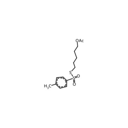 CC(=O)OCCCCCSS(=O)(=O)c1ccc(C)cc1